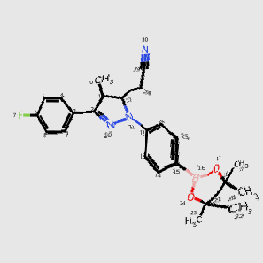 CC1C(c2ccc(F)cc2)=NN(c2ccc(B3OC(C)(C)C(C)(C)O3)cc2)C1CC#N